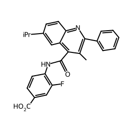 Cc1c(-c2ccccc2)nc2ccc(C(C)C)cc2c1C(=O)Nc1ccc(C(=O)O)cc1F